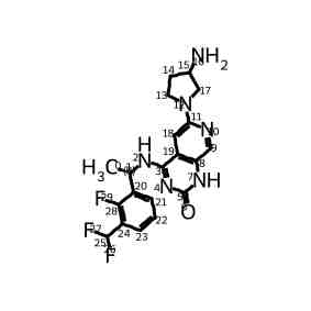 C[C@@H](Nc1nc(=O)[nH]c2cnc(N3CCC(N)C3)cc12)c1cccc(C(F)F)c1F